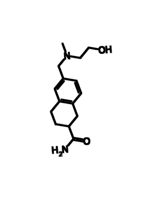 CN(CCO)Cc1ccc2c(c1)CCC(C(N)=O)C2